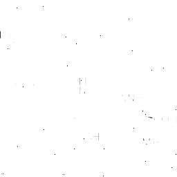 CO[C@H](CC(=O)[C@H](CS)NC(=O)Cc1cccc(C(=O)O)c1)[C@@H](N)C(=O)O